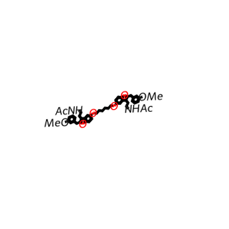 COc1cccc(Cc2oc3ccc(OCCCCCCOc4ccc5oc(Cc6cccc(OC)c6)c(CCNC(C)=O)c5c4)cc3c2CCNC(C)=O)c1